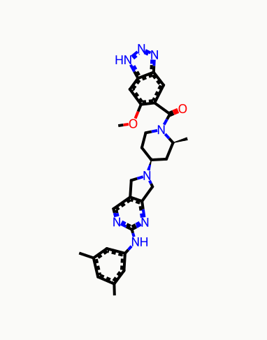 COc1cc2[nH]nnc2cc1C(=O)N1CC[C@H](N2Cc3cnc(Nc4cc(C)cc(C)c4)nc3C2)C[C@@H]1C